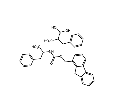 O=C(NC(Cc1ccccc1)C(=O)O)OCc1cccc2c1Cc1ccccc1-2.O=C(O)C(Cc1ccccc1)N(O)O